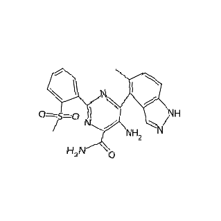 Cc1ccc2[nH]ncc2c1-c1nc(-c2ccccc2S(C)(=O)=O)nc(C(N)=O)c1N